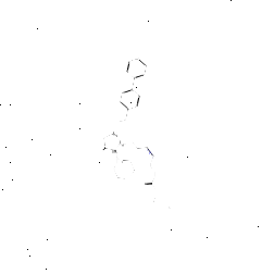 CC(=O)OCOC(=O)CC/C=C\CC[C@H]1[C@@H](OCc2ccc(-c3ccccc3)cc2)CC(=O)[C@@H]1N1CCOCC1